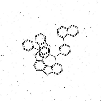 c1ccc(-c2ccc(N(c3cccc(-c4cccc5ccccc45)c3)c3cccc4sc5ccc6oc7c8ccccc8ccc7c6c5c34)cc2)cc1